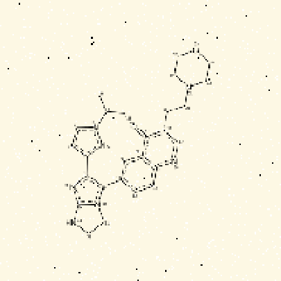 CC(C)n1ccc(-c2nc3n(c2-c2ccc4ncn(CCN5CCOCC5)c(=O)c4c2)CCN3)n1